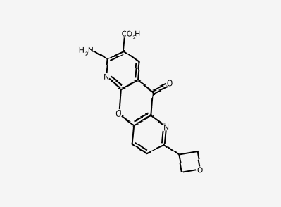 Nc1nc2oc3ccc(C4COC4)nc3c(=O)c2cc1C(=O)O